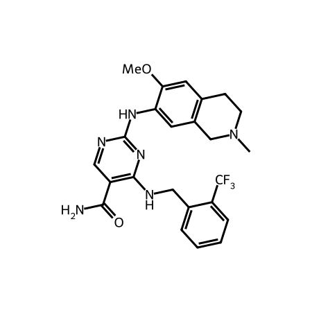 COc1cc2c(cc1Nc1ncc(C(N)=O)c(NCc3ccccc3C(F)(F)F)n1)CN(C)CC2